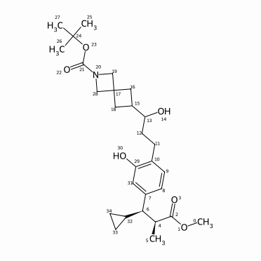 COC(=O)[C@@H](C)[C@H](c1ccc(CCC(O)C2CC3(C2)CN(C(=O)OC(C)(C)C)C3)c(O)c1)C1CC1